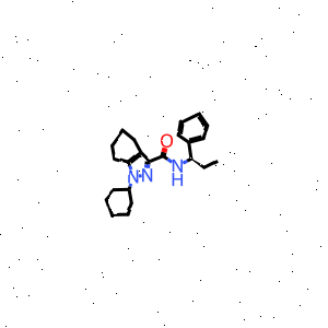 CC[C@@H](NC(=O)c1nn(C2CCCCC2)c2c1CCCC2)c1ccccc1